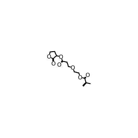 C=C(C)C(=O)OCCOCCC(=O)OC1CCOC1=O